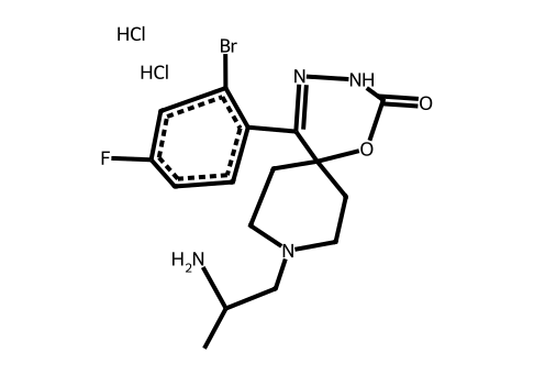 CC(N)CN1CCC2(CC1)OC(=O)NN=C2c1ccc(F)cc1Br.Cl.Cl